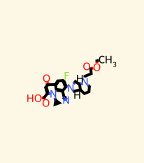 CCOC(=O)CCN1CCC[C@H]2CN(c3c(F)cc4c(=O)cc(C(=O)O)n(C5CC5)c4c3C#N)C[C@H]21